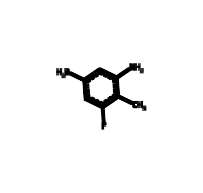 Bc1cc(N)c(C)c(F)c1